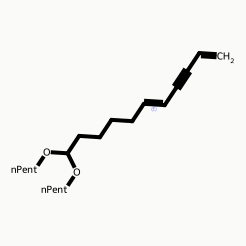 C=CC#C/C=C/CCCCC(OCCCCC)OCCCCC